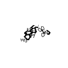 C[C@H](OC(=O)C(=O)N1CCC1)[C@H]1CC[C@H]2[C@@H]3CC=C4C[C@@H](O)CC[C@]4(C)[C@H]3CC[C@]12C